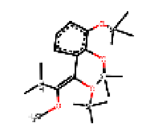 C[SiH](C)C(O[SiH3])=C(O[Si](C)(C)C)c1cccc(O[Si](C)(C)C)c1O[Si](C)(C)C